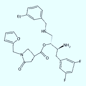 CCc1cccc(CNC[C@@H](OC(=O)C2CC(=O)N(Cc3ccco3)C2)[C@@H](N)Cc2cc(F)cc(F)c2)c1